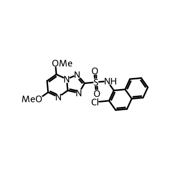 COc1cc(OC)n2nc(S(=O)(=O)Nc3c(Cl)ccc4ccccc34)nc2n1